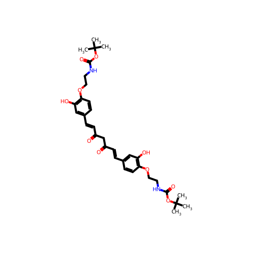 CC(C)(C)OC(=O)NCCOc1ccc(/C=C/C(=O)CC(=O)/C=C/c2ccc(OCCNC(=O)OC(C)(C)C)c(O)c2)cc1O